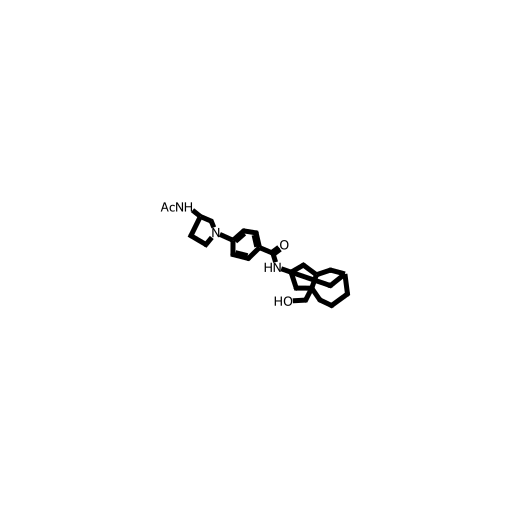 CC(=O)NC1CCN(c2ccc(C(=O)NC34CC5CCCC(CO)(C3)C(C5)C4)cc2)C1